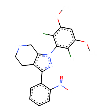 COc1cc(OC)c(Cl)c(-n2nc(-c3ccccc3[N+](=O)[O-])c3c2CNCC3)c1Cl